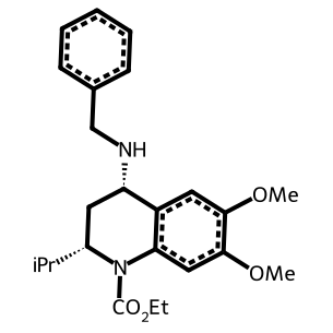 CCOC(=O)N1c2cc(OC)c(OC)cc2[C@@H](NCc2ccccc2)C[C@H]1C(C)C